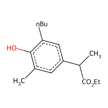 CCCCc1cc(C(C)C(=O)OCC)cc(C)c1O